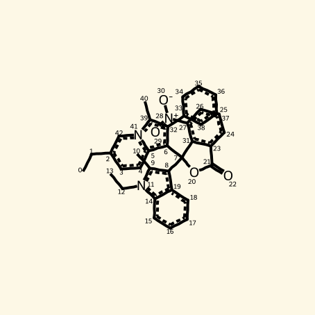 CCc1ccc2c(C3(c4c(C)n(CC)c5ccccc45)OC(=O)c4cccc([N+](=O)[O-])c43)c(-c3ccccc3)c(C)n2c1